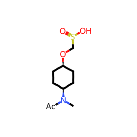 CC(=O)N(C)[C@H]1CC[C@@H](OCS(=O)O)CC1